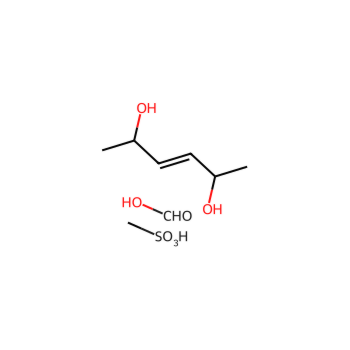 CC(O)C=CC(C)O.CS(=O)(=O)O.O=CO